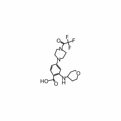 O=C(O)c1ccc(N2CCN(C(=O)C(F)(F)F)CC2)cc1NC1CCOCC1